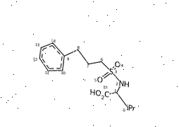 CC(C)C(NS(=O)(=O)CCCc1ccccc1)C(=O)O